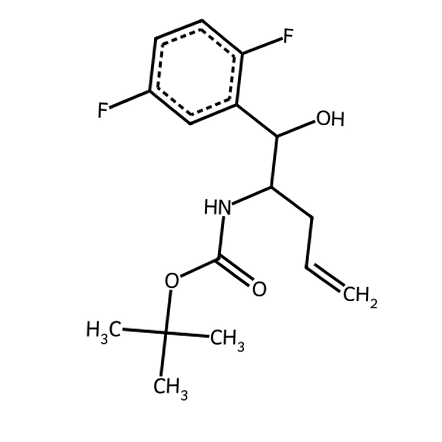 C=CCC(NC(=O)OC(C)(C)C)C(O)c1cc(F)ccc1F